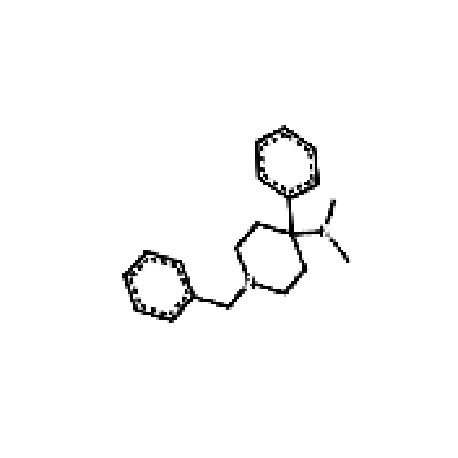 CN(C)C1(c2ccccc2)CCN(Cc2ccccc2)CC1